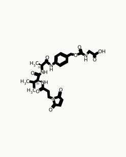 CC(C)[C@H](NC(=O)CCN1C(=O)C=CC1=O)C(=O)N[C@@H](C)C(=O)Nc1ccc(COC(=O)NCC(=O)O)cc1